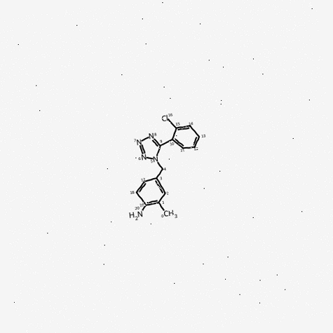 Cc1cc(Cn2nnnc2-c2ccccc2Cl)ccc1N